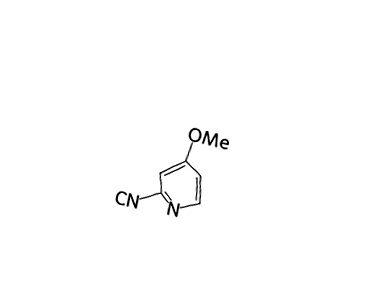 [C-]#[N+]c1cc(OC)ccn1